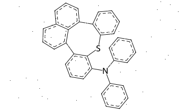 c1ccc(N(c2ccccc2)c2cccc3c2Sc2ccccc2-c2cccc4cccc-3c24)cc1